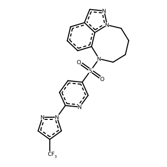 O=S(=O)(c1ccc(-n2cc(C(F)(F)F)cn2)nc1)N1CCCCn2ncc3cccc1c32